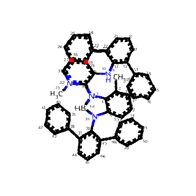 Cc1cccc2c1N(c1c(Nc3c(-c4ccccc4)cccc3-c3ccccc3)ccc[n+]1C)BN2c1c(-c2ccccc2)cccc1-c1ccccc1